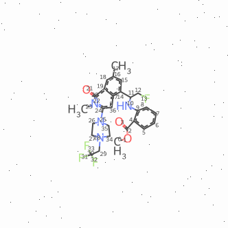 COC(=O)c1ccccc1NC(CF)c1cc(C)cc2c(=O)n(C)c(N3CCN(CC(F)(F)F)CC3)cc12